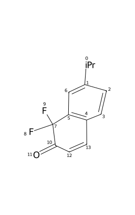 CC(C)c1ccc2c(c1)C(F)(F)C(=O)C=C2